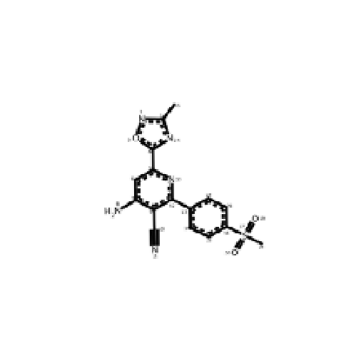 Cc1noc(-c2cc(N)c(C#N)c(-c3ccc(S(C)(=O)=O)cc3)n2)n1